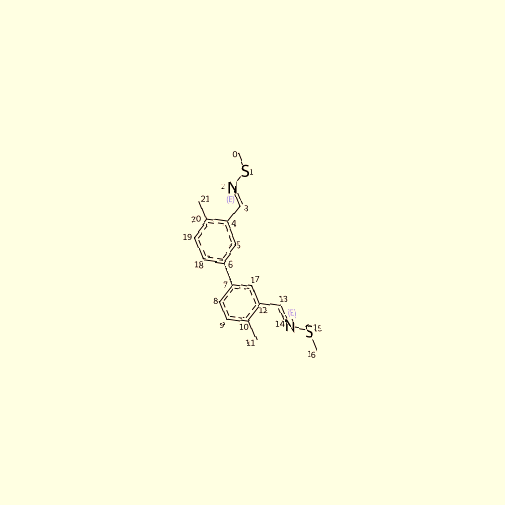 CS/N=C/c1cc(-c2ccc(C)c(/C=N/SC)c2)ccc1C